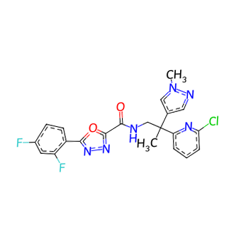 Cn1cc(C(C)(CNC(=O)c2nnc(-c3ccc(F)cc3F)o2)c2cccc(Cl)n2)cn1